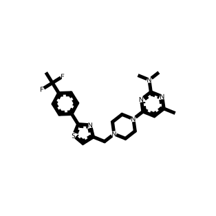 Cc1cc(N2CCN(Cc3csc(-c4ccc(C(C)(F)F)cc4)n3)CC2)nc(N(C)C)n1